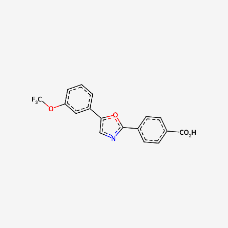 O=C(O)c1ccc(-c2ncc(-c3cccc(OC(F)(F)F)c3)o2)cc1